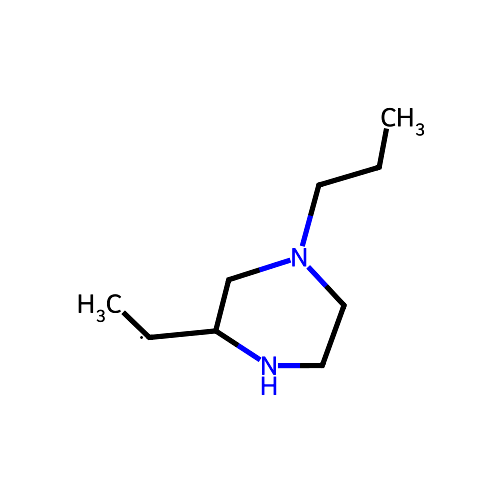 C[CH]C1CN(CCC)CCN1